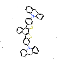 c1ccc2c(c1)Cc1ccccc1N2c1ccc2c(c1)sc1c3sc4cc(N5c6ccccc6Cc6ccccc65)ccc4c3c3ccccc3c21